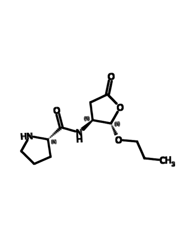 CCCO[C@H]1OC(=O)C[C@@H]1NC(=O)[C@@H]1CCCN1